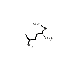 CCCCCCN[C@@H](CCC(N)=O)C(=O)O